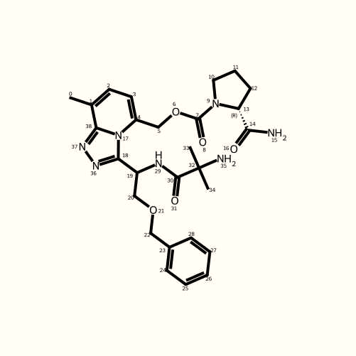 Cc1ccc(COC(=O)N2CCC[C@@H]2C(N)=O)n2c(C(COCc3ccccc3)NC(=O)C(C)(C)N)nnc12